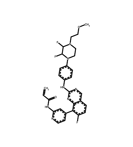 C=CC(=O)Nc1cc(-c2c(F)ccc3cnc(Nc4ccc(N5CCN(CCOC)C(F)C5F)cc4)nc23)ccn1